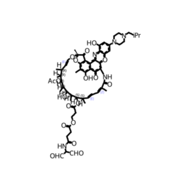 CC(=O)O[C@H]1[C@H](C)[C@H](O)[C@H](C)[C@@H](OC(=O)CCOC(=O)CCC(=O)NC(C=O)C=O)[C@@H](C)/C=C/C=C(/C)C(=O)Nc2c3oc4cc(N5CCN(CC(C)C)CC5)cc(O)c4nc-3c3c4c(c(C)c(O)c3c2=O)O[C@](C)(O/C=C/[C@H](C)[C@H]1C)C4=O